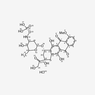 COc1cccc2c1C(=O)c1c(O)c3c(c(O)c1C2=O)C[C@@](O)(C(=O)CO)C[C@@H]3OC1CC(NOP(=O)(O)O)C(O)C(C)O1.Cl